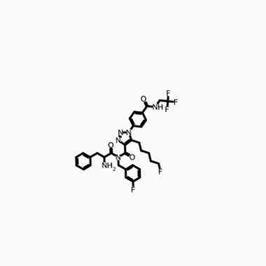 NC(Cc1ccccc1)C(=O)N(Cc1cccc(F)c1)C(=O)c1nnn(-c2ccc(C(=O)NCC(F)(F)F)cc2)c1CCCCCF